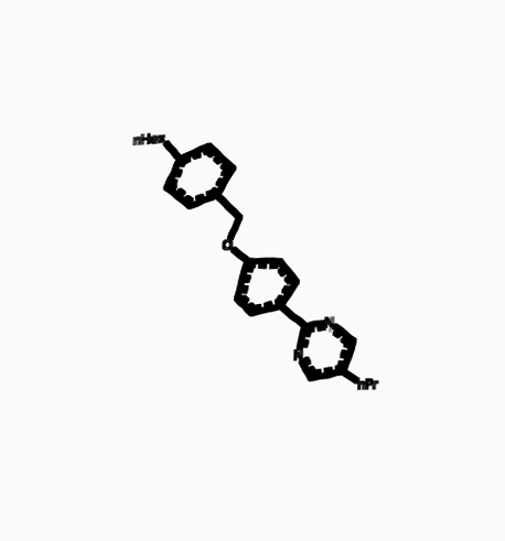 CCCCCCc1ccc(COc2ccc(-c3ncc(CCC)cn3)cc2)cc1